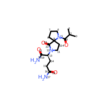 CC(C)C(=O)N1CCCC12CCN([C@@H](CCC(N)=O)C(N)=O)C2=O